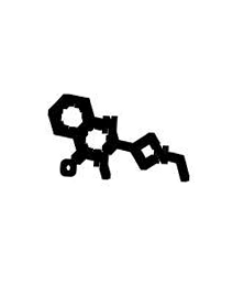 CCN1CC(c2nc3ccccc3c(=O)n2C)C1